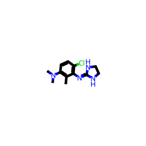 Cc1c(N(C)C)ccc(Cl)c1N=C1NCCN1